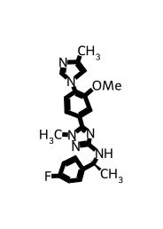 COc1cc(-c2nc(N[C@@H](C)c3ccc(F)cc3)nn2C)ccc1-n1cnc(C)c1